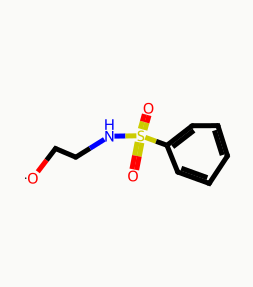 [O]CCNS(=O)(=O)c1ccccc1